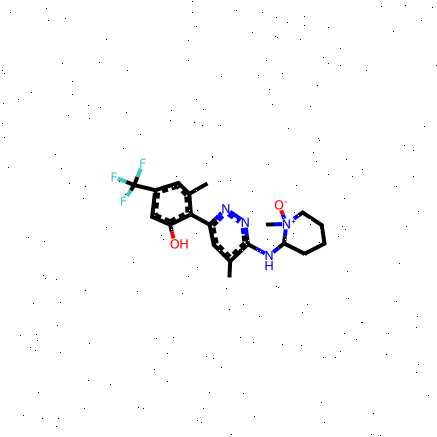 Cc1cc(-c2c(C)cc(C(F)(F)F)cc2O)nnc1NC1CCCC[N+]1(C)[O-]